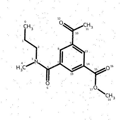 CCCN(C)C(=O)c1cc(C(C)=O)cc(C(=O)OC)c1